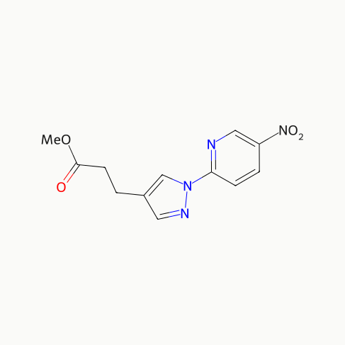 COC(=O)CCc1cnn(-c2ccc([N+](=O)[O-])cn2)c1